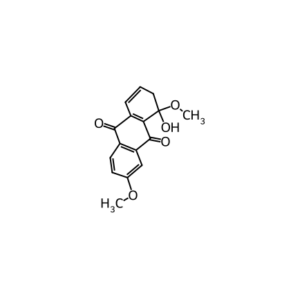 COc1ccc2c(c1)C(=O)C1=C(C=CCC1(O)OC)C2=O